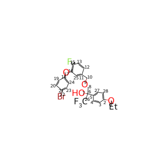 CCOc1ccc(C(O)(COCc2ccc(F)c(Oc3ccc(Br)cc3)c2)C(F)(F)F)cc1